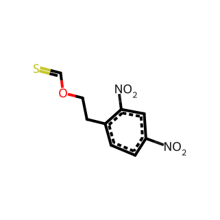 O=[N+]([O-])c1ccc(CCOC=S)c([N+](=O)[O-])c1